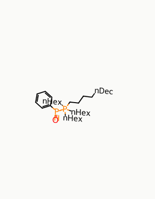 CCCCCCCCCCCCCCP(CCCCCC)(CCCCCC)(CCCCCC)[PH](=O)c1ccccc1